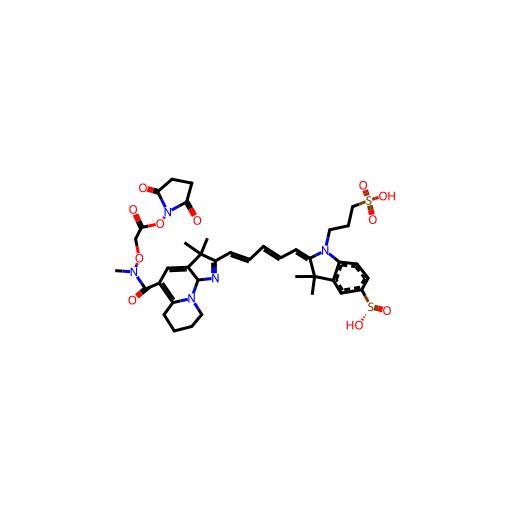 CN(OCC(=O)ON1C(=O)CCC1=O)C(=O)C1=C2CCCCN2C2N=C(/C=C/C=C/C=C3/N(CCCS(=O)(=O)O)c4ccc([S@](=O)O)cc4C3(C)C)C(C)(C)C2=C1